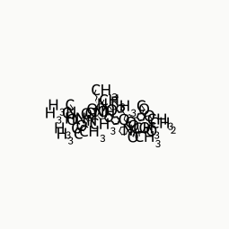 C=CC(=O)OCC(C)(C)C(=O)C(=O)N1CCCC[C@H]1C(=O)O[C@H](CCc1ccc(OC)c(OC)c1)c1ccc(F)c(OCC(=O)N(C)[C@@H](CCCC)C(=O)N[C@@H](Cc2ccc3ccccc3c2)C(=O)N(C)[C@@H](COC(C)(C)C)C(=O)NCC(=O)N(C)CC)c1